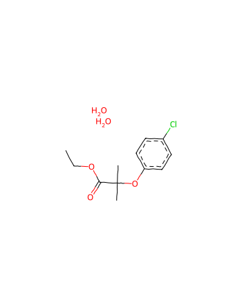 CCOC(=O)C(C)(C)Oc1ccc(Cl)cc1.O.O